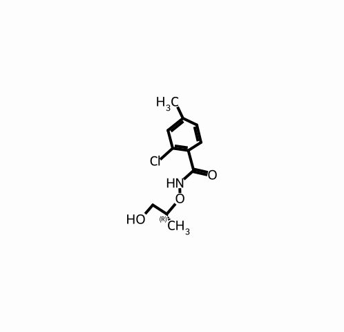 Cc1ccc(C(=O)NO[C@H](C)CO)c(Cl)c1